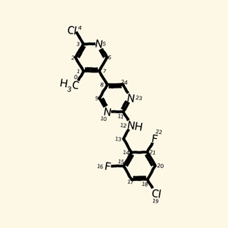 Cc1cc(Cl)ncc1-c1cnc(NCc2c(F)cc(Cl)cc2F)nc1